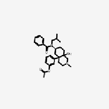 CC(=O)Oc1cccc(C23CCN(C)CC2(O)CC[C@H](N(CC(C)C)C(=O)c2ccccc2)C3)c1